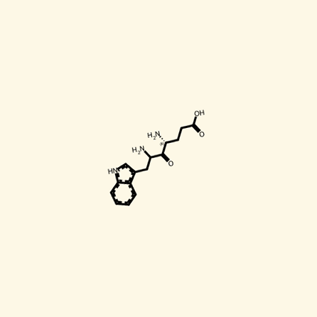 NC(Cc1c[nH]c2ccccc12)C(=O)[C@H](N)CCC(=O)O